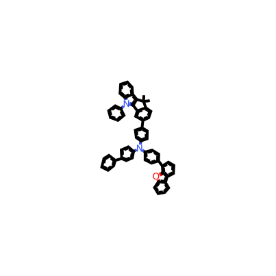 CC1(C)c2ccc(-c3ccc(N(c4ccc(-c5ccccc5)cc4)c4ccc(-c5cccc6c5oc5ccccc56)cc4)cc3)cc2-c2c1c1ccccc1n2-c1ccccc1